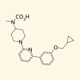 CN(C(=O)O)C1CCN(c2cccc(-c3cccc(OCC4CC4)c3)n2)CC1